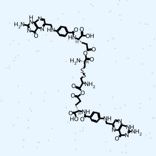 Nc1nc(=O)c2nc(CNc3ccc(C(=O)N[C@@H](CCC(=O)OC(=O)[C@@H](N)CSSC[C@H](N)C(=O)OC(=O)CC[C@H](NC(=O)c4ccc(NCc5cnc6[nH]c(N)nc(=O)c6n5)cc4)C(=O)O)C(=O)O)cc3)cnc2[nH]1